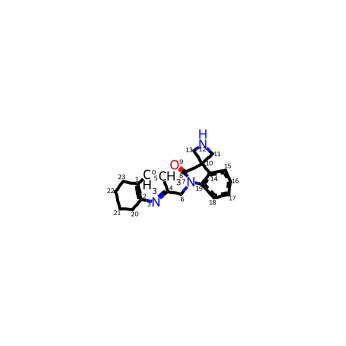 CC1=C(/N=C(\C)CN2C(=O)C3(CNC3)c3ccccc32)CCCC1